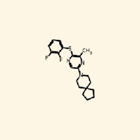 Cc1nc(N2CCC3(CCCC3)CC2)cnc1Sc1cccc(F)c1F